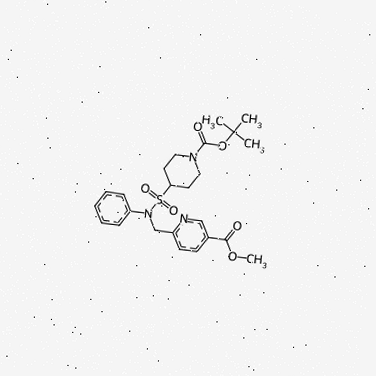 COC(=O)c1ccc(CN(c2ccccc2)S(=O)(=O)C2CCN(C(=O)OC(C)(C)C)CC2)nc1